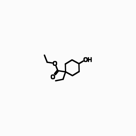 CCOC(=O)C1(CC)CCC(O)CC1